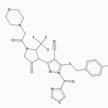 N#Cc1c(C2C(=O)CN(C(=O)CN3CCOCC3)C2C(F)(F)F)nn(C(=O)c2cscn2)c1SCc1ccc(F)cc1